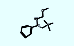 COCN[C@H](C[Si](C)(C)C)c1ccccc1